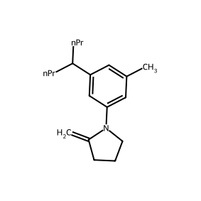 C=C1CCCN1c1cc(C)cc(C(CCC)CCC)c1